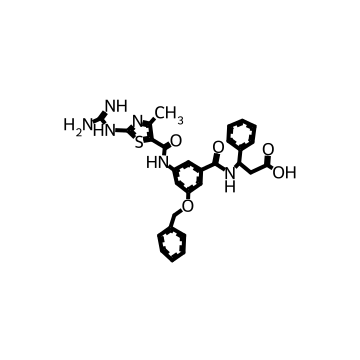 Cc1nc(NC(=N)N)sc1C(=O)Nc1cc(OCc2ccccc2)cc(C(=O)NC(CC(=O)O)c2ccccc2)c1